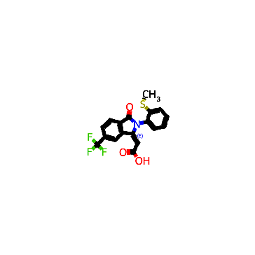 CSc1ccccc1N1C(=O)c2ccc(C(F)(F)F)cc2/C1=C\C(=O)O